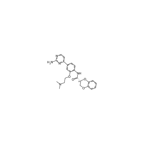 CN(C)CCOc1cc(-c2ccnc(N)n2)ccc1NC(=O)[C@H]1COc2ccccc2O1